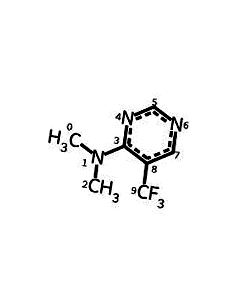 CN(C)c1ncncc1C(F)(F)F